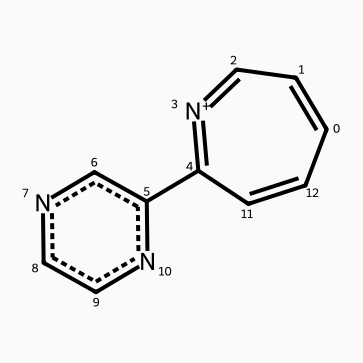 C1=CC=[N+]=C(c2cnccn2)C=C1